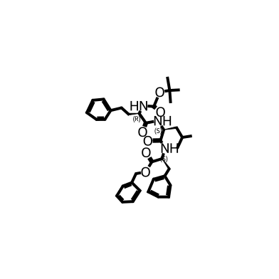 CC(C)C[C@H](NC(=O)[C@@H](CCc1ccccc1)NC(=O)OC(C)(C)C)C(=O)N[C@@H](Cc1ccccc1)C(=O)OCc1ccccc1